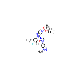 Cc1cc(-n2nc3c(c2-n2ccn(-c4ccc5c(cnn5C)c4)c2=O)CN(C(=O)OC(C)(C)C)CC3)cc(C)c1F